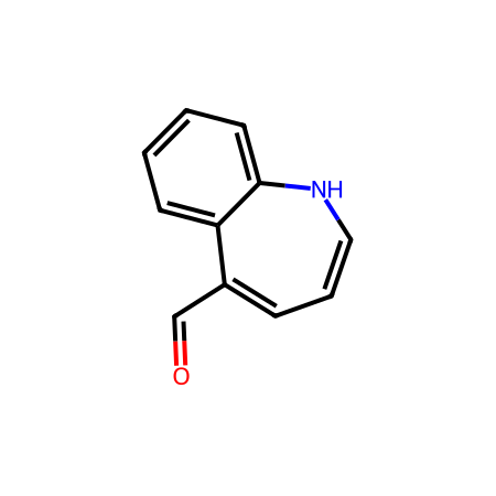 O=CC1=CC=CNc2ccccc21